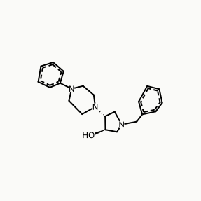 O[C@@H]1CN(Cc2ccccc2)C[C@H]1N1CCN(c2ccccc2)CC1